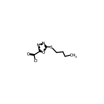 CCCCSc1nnc(C(=O)Cl)o1